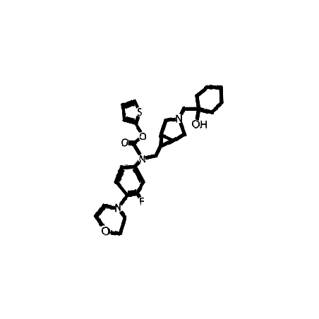 O=C(Oc1cccs1)N(CC1C2CN(CC3(O)CCCCC3)CC21)c1ccc(N2CCOCC2)c(F)c1